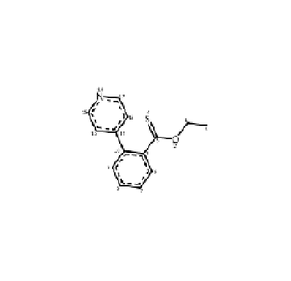 CCOC(=S)c1ccccc1-c1ccncc1